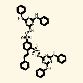 O=S(=O)(ONc1nc(Nc2ccccc2)nc(Nc2ccccc2)n1)c1ccc(C=Cc2ccccc2)c(S(=O)(=O)ONc2nc(Nc3ccccc3)nc(Nc3ccccc3)n2)c1